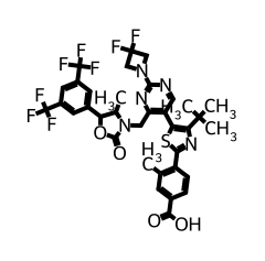 Cc1cc(C(=O)O)ccc1-c1nc(C(C)(C)C)c(-c2cnc(N3CC(F)(F)C3)nc2CN2C(=O)OC(c3cc(C(F)(F)F)cc(C(F)(F)F)c3)C2C)s1